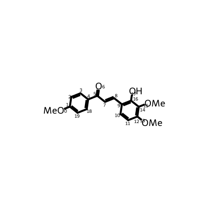 COc1ccc(C(=O)/C=C/c2ccc(OC)c(OC)c2O)cc1